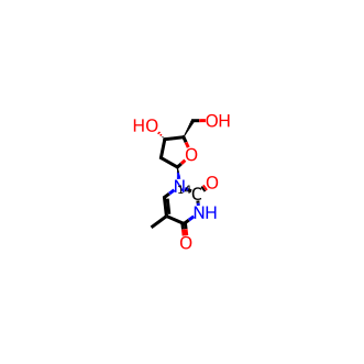 Cc1cn([C@H]2C[C@H](O)[C@@H](CO)O2)[14c](=O)[nH]c1=O